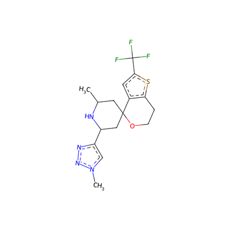 CC1CC2(CC(c3cn(C)nn3)N1)OCCc1sc(C(F)(F)F)cc12